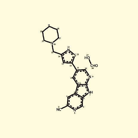 N#Cc1cc2c(cn1)[nH]c1ncc(-c3cc(CN4CCCCC4)ns3)cc12.O=CO